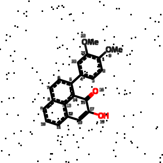 COc1ccc(-c2ccc3cccc4c3c2C(=O)C(O)=C4)cc1OC